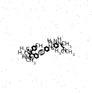 CNC(=O)c1c(C2=CCCC(N3CCN(c4ccc(NSc5ccc(N[C@@H](C)CCN(C)C)c(N)c5)cc4)CC3)=C2)c(-c2ccc(C)cc2)n(C)c1C